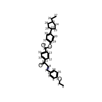 CCOc1ccc(/C=C/C(=O)c2ccc(C(=O)Oc3ccc(C4CCC(CC)CC4)cc3)cc2)cc1